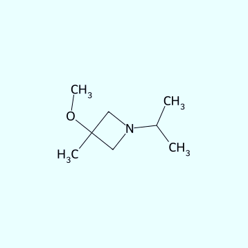 COC1(C)CN(C(C)C)C1